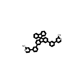 N#Cc1cc(-c2cccc(-c3ccc4c(c3)-c3cc(-c5cccc(-c6ccnc(C#N)c6)c5)ccc3C43c4ccccc4-c4ccccc43)c2)ccn1